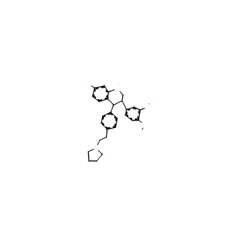 COc1ccc(C2COc3cc(O)ccc3C2c2ccc(CCN3CCCC3)cc2)cc1OC